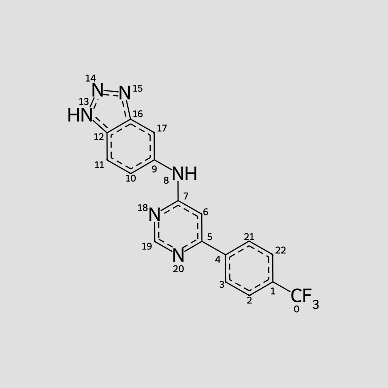 FC(F)(F)c1ccc(-c2cc(Nc3ccc4[nH]nnc4c3)ncn2)cc1